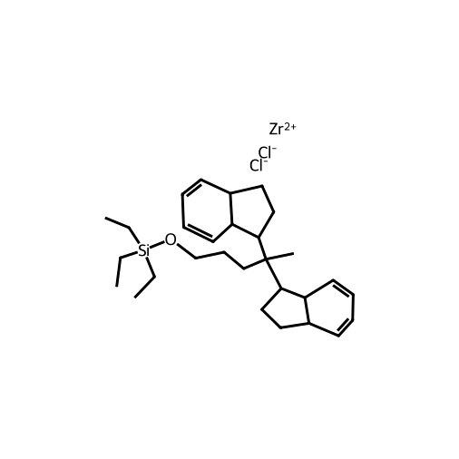 CC[Si](CC)(CC)OCCCC(C)(C1CCC2C=CC=CC21)C1CCC2C=CC=CC21.[Cl-].[Cl-].[Zr+2]